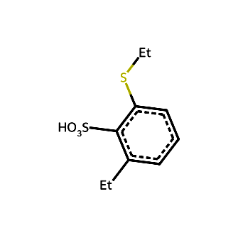 CCSc1cccc(CC)c1S(=O)(=O)O